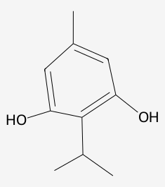 Cc1cc(O)c(C(C)C)c(O)c1